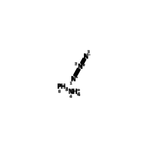 P.[N-]=[N+]=[N-].[NH4+]